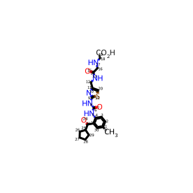 Cc1ccc(NC(=O)Nc2nc(CNC(=O)CNCC(=O)O)cs2)c(C(=O)C2CCCC2)c1